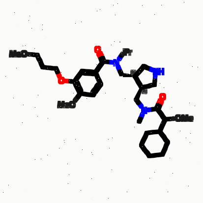 COCCCOc1cc(C(=O)N(C[C@@H]2CNC[C@H]2CN(C)C(=O)C(OC)C2CCCCC2)C(C)C)ccc1OC